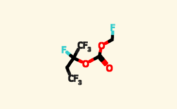 O=C(OCF)OC(F)(CC(F)(F)F)C(F)(F)F